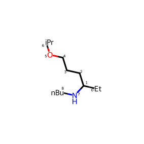 [CH2]CC(CCCOC(C)C)NCCCC